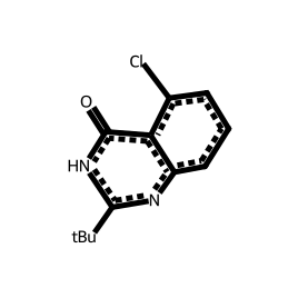 CC(C)(C)c1nc2cccc(Cl)c2c(=O)[nH]1